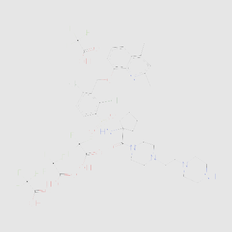 Cc1cc(C)c2cccc(OCc3c(Cl)ccc(S(=O)(=O)NC4(C(=O)N5CCN(CCN6CCNCC6)CC5)CCCC4)c3Cl)c2n1.O=C(O)C(F)(F)F.O=C(O)C(F)(F)F.O=C(O)C(F)(F)F.O=C(O)C(F)(F)F